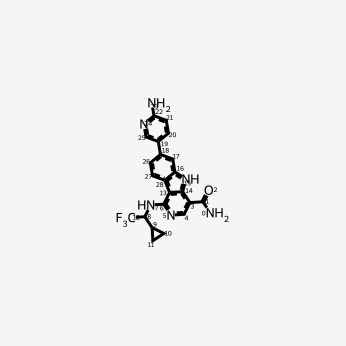 NC(=O)c1cnc(NC(C2CC2)C(F)(F)F)c2c1[nH]c1cc(-c3ccc(N)nc3)ccc12